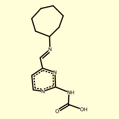 O=C(O)Nc1nccc(/C=N/C2CCCCCC2)n1